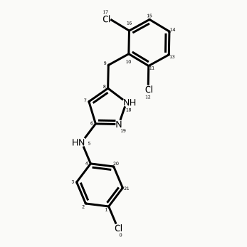 Clc1ccc(Nc2cc(Cc3c(Cl)cccc3Cl)[nH]n2)cc1